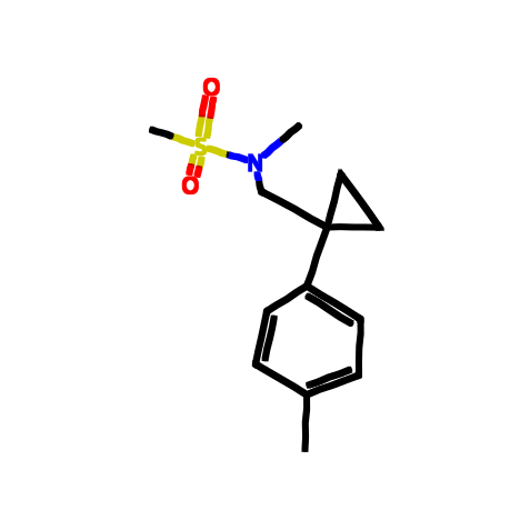 Cc1ccc(C2(CN(C)S(C)(=O)=O)CC2)cc1